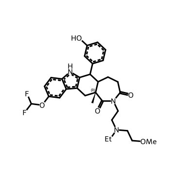 CCN(CCOC)CCN1C(=O)CCC2C(c3cccc(O)c3)c3[nH]c4ccc(OC(F)F)cc4c3C[C@@]2(C)C1=O